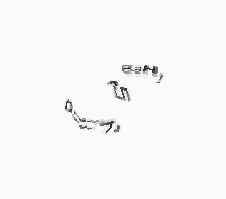 [BaH2].[O]=[Ta].[Zn]